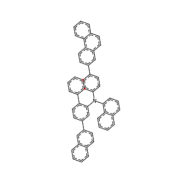 c1ccc(-c2ccc(-c3ccc4ccccc4c3)cc2N(c2ccc(-c3ccc4c(ccc5ccccc54)c3)cc2)c2cccc3ccccc23)cc1